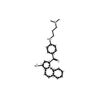 CN(C)CCCNc1ccc(C(=O)c2cc(C#N)c3ccc4ccccc4n23)cc1